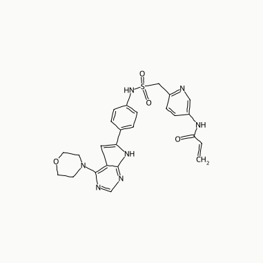 C=CC(=O)Nc1ccc(CS(=O)(=O)Nc2ccc(-c3cc4c(N5CCOCC5)ncnc4[nH]3)cc2)nc1